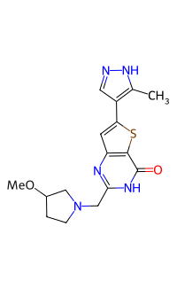 COC1CCN(Cc2nc3cc(-c4cn[nH]c4C)sc3c(=O)[nH]2)C1